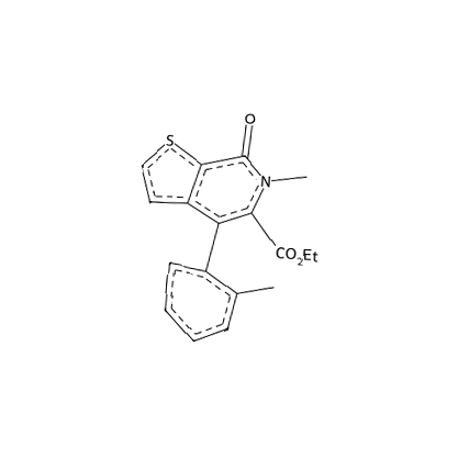 CCOC(=O)c1c(-c2ccccc2C)c2ccsc2c(=O)n1C